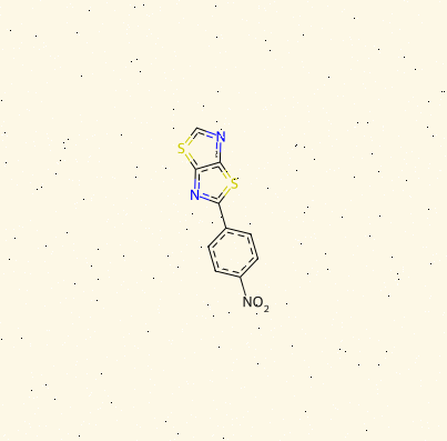 O=[N+]([O-])c1ccc(-c2nc3scnc3s2)cc1